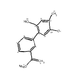 C=C(OC)c1cccc(-c2cc(Cl)c(C)cc2O)c1